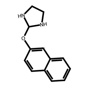 [c]1c(OC2NCCN2)ccc2ccccc12